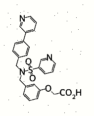 O=C(O)COc1cccc(CN(Cc2ccc(-c3cccnc3)cc2)S(=O)(=O)c2cccnc2)c1